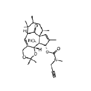 C#CCN(C)C(=O)O[C@H]1C(C)=C[C@]23C(=O)[C@@H](C=C4COC(C)(C)O[C@H]4[C@]12O)C(C)(C)[C@@H](C)C[C@H]3C